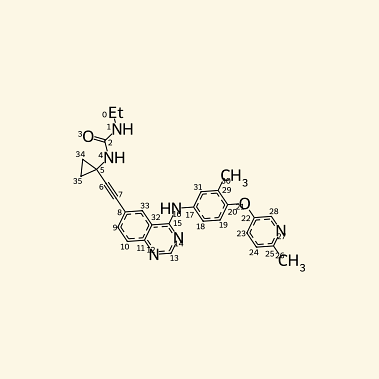 CCNC(=O)NC1(C#Cc2ccc3ncnc(Nc4ccc(Oc5ccc(C)nc5)c(C)c4)c3c2)CC1